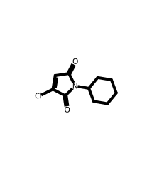 O=C1C=C(Cl)C(=O)N1C1CCCCC1